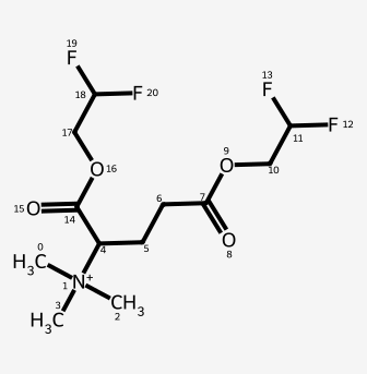 C[N+](C)(C)C(CCC(=O)OCC(F)F)C(=O)OCC(F)F